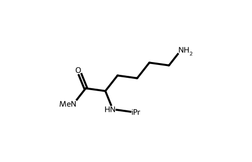 CNC(=O)C(CCCCN)NC(C)C